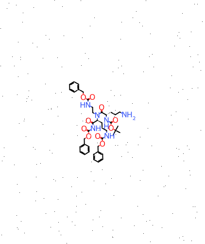 CC(C)(C)OC(=O)N[C@@H](CCCN)C(=O)N(CCNC(=O)OCc1ccccc1)[C@@H](CCCNC(=O)OCc1ccccc1)C(=O)NC(=O)OCc1ccccc1